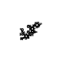 COCCNc1cc(NC(=O)c2cn(C)c3cc(CN4CCN(C)CC4)c(C=O)nc23)ncc1C#N